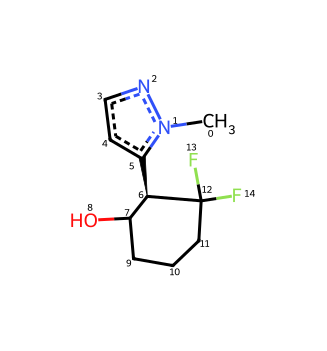 Cn1nccc1[C@@H]1C(O)CCCC1(F)F